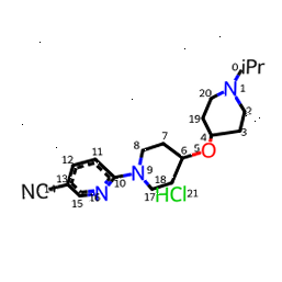 CC(C)N1CCC(OC2CCN(c3ccc(C#N)cn3)CC2)CC1.Cl